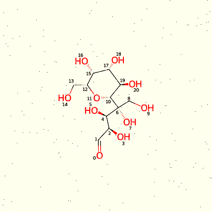 O=C[C@H](O)[C@@H](O)[C@](O)(CO)[C@@H]1O[C@H](CO)[C@H](O)[C@H](O)[C@H]1O